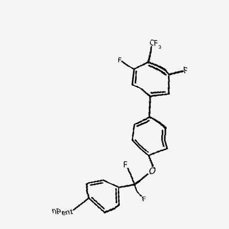 CCCCCc1ccc(C(F)(F)Oc2ccc(-c3cc(F)c(C(F)(F)F)c(F)c3)cc2)cc1